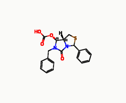 O=C(O)O[C@H]1[C@@H]2CSC(c3ccccc3)N2C(=O)N1Cc1ccccc1